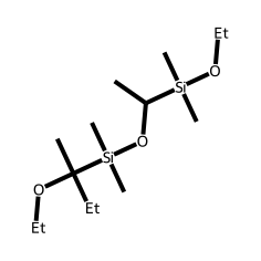 CCOC(C)(CC)[Si](C)(C)OC(C)[Si](C)(C)OCC